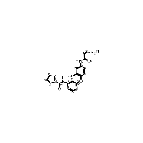 O=C(O)CC(=O)Nc1ccc(Oc2cc(NC(=O)N3CCCC3)ncn2)c(F)c1